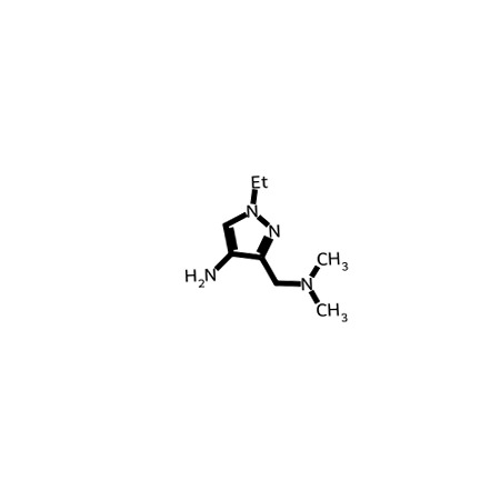 CCn1cc(N)c(CN(C)C)n1